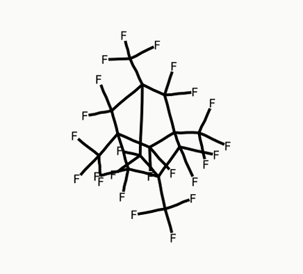 FC(F)(F)C12C(F)(F)C3(C(F)(F)F)C(F)(F)C(C(F)(F)F)(C1(F)F)C(F)(F)C(C(F)(F)F)(C2(F)F)C3(F)F